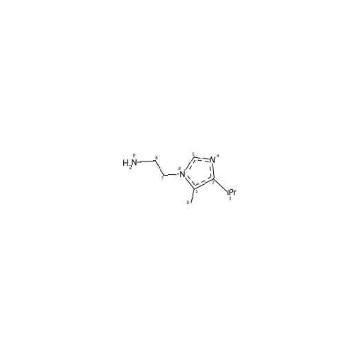 Cc1c(C(C)C)ncn1CCN